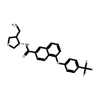 NCC1COC[C@H]1NC(=O)c1ccc2c(Oc3ccc(C(F)(F)F)cc3)cccc2c1